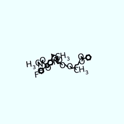 CNC(=O)c1c(-c2ccc(F)cc2)oc2cc(N(CCOCCOCC(C)CCCOC(=O)c3ccccc3)S(C)(=O)=O)c(C3CC3)cc12